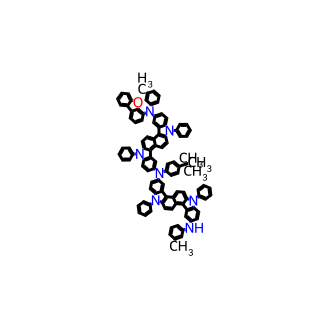 Cc1cccc(Nc2ccc3c(c2)c2c4ccc5c(c4ccc2n3-c2ccccc2)c2cc(N(c3ccc(C(C)(C)C)cc3)c3ccc4c(c3)c3c6ccc7c(c6ccc3n4-c3ccccc3)c3cc(N(c4cccc(C)c4)c4cccc6c4oc4ccccc46)ccc3n7-c3ccccc3)ccc2n5-c2ccccc2)c1